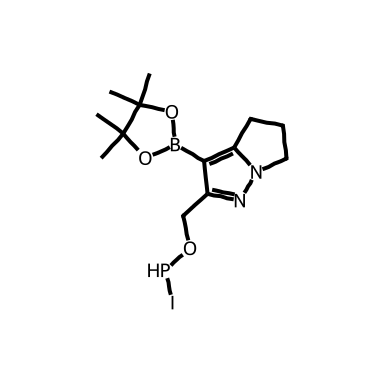 CC1(C)OB(c2c(COPI)nn3c2CCC3)OC1(C)C